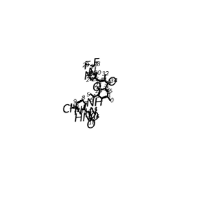 Cc1cc(C(C)Nc2ccc(Cl)nc2-c2noc(=O)[nH]2)c2oc(-c3cnn(C(F)F)c3)c(C)c(=O)c2c1